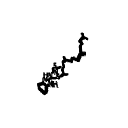 CC(C)=CCCC(C)=CCCC(C)=CCCC(C)=CSCC(Nc1csc(C)n1)c1nc2ccccc2[nH]1